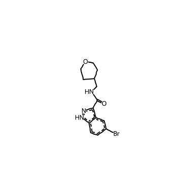 O=C(NCC1CCOCC1)c1n[nH]c2ccc(Br)cc12